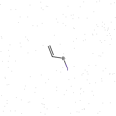 C=C[B]I